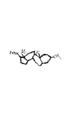 CC(=O)NC1CCC2C3CCC4CC(C)CCC4(C)C3CCC12C